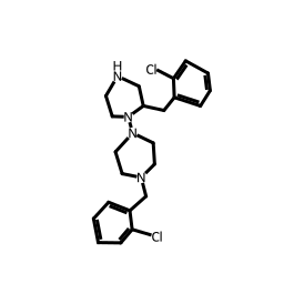 Clc1ccccc1CC1CNCCN1N1CCN(Cc2ccccc2Cl)CC1